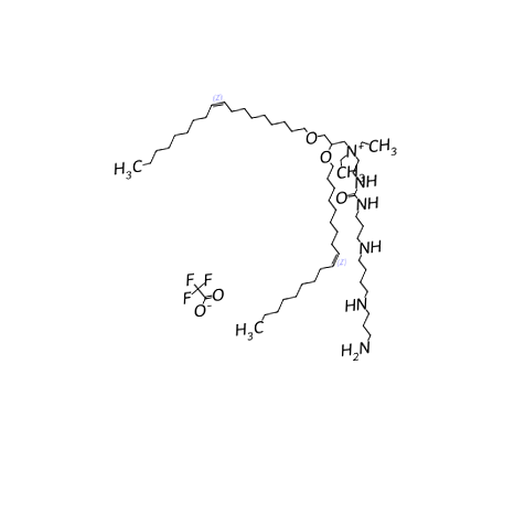 CCCCCCCC/C=C\CCCCCCCCOCC(C[N+](CC)(CC)CCNC(=O)NCCCNCCCCNCCCN)OCCCCCCCC/C=C\CCCCCCCC.O=C([O-])C(F)(F)F